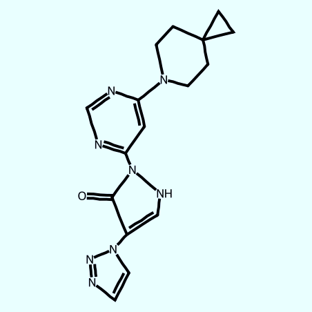 O=c1c(-n2ccnn2)c[nH]n1-c1cc(N2CCC3(CC2)CC3)ncn1